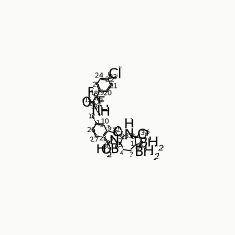 BC1(B)CCC(B)(N2Cc3cc(CNC(=O)C(F)(F)c4ccc(Cl)cc4)ccc3C2=O)C(=O)NC1=O